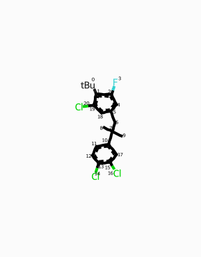 CC(C)(C)c1c(F)cc(CC(C)(C)c2ccc(Cl)c(Cl)c2)cc1Cl